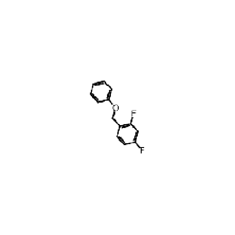 Fc1ccc(COc2ccccc2)c(F)c1